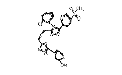 CS(=O)(=O)c1ccc(-c2nnc(C=C=Cc3nnc(-c4ccnc(O)c4)o3)n2-c2ccccc2Cl)nc1